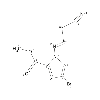 COC(=O)c1cc(Br)cn1/N=C/CC#N